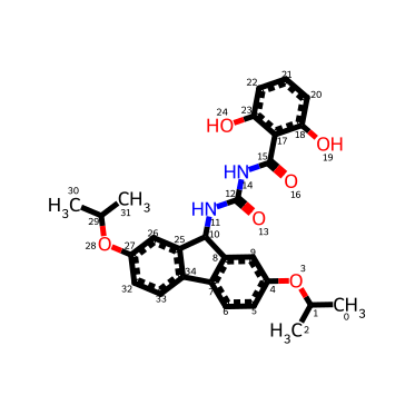 CC(C)Oc1ccc2c(c1)C(NC(=O)NC(=O)c1c(O)cccc1O)c1cc(OC(C)C)ccc1-2